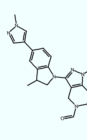 CC1CN(c2nn(C)c3c2CN(C=O)CC3)c2ccc(-c3cnn(C)c3)cc21